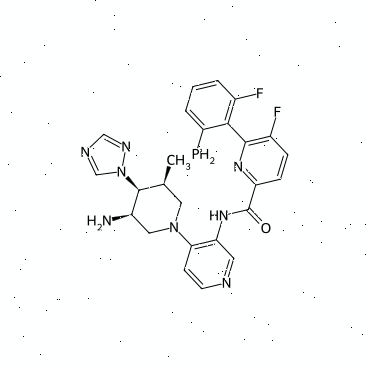 C[C@H]1CN(c2ccncc2NC(=O)c2ccc(F)c(-c3c(F)cccc3P)n2)C[C@@H](N)[C@H]1n1cncn1